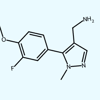 COc1ccc(-c2c(CN)cnn2C)cc1F